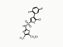 CCOC(=O)c1sc(NS(=O)(=O)c2cc(-c3cc(F)ccc3F)c(Cl)s2)nc1C